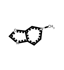 C[n+]1ccc2ncoc2c1